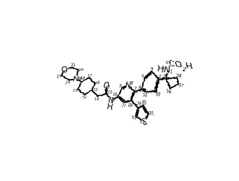 O=C(O)NC1(c2ccc(-c3ncc(NC(=O)CC4CCC(N5CCOCC5)CC4)cc3-c3ccsc3)cc2)CCC1